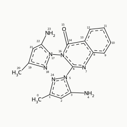 Cc1cc(N)n(-c2nc3ccccc3c(=O)n2-n2nc(C)cc2N)n1